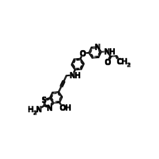 C=CC(=O)Nc1ccc(Oc2ccc(NCC#Cc3cc(O)c4nc(N)sc4c3)cc2)cn1